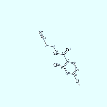 N#CCC[Se]C(=O)c1ccc(Cl)cc1Cl